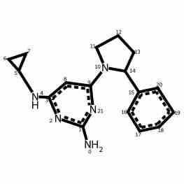 Nc1nc(NC2CC2)cc(N2CCCC2c2ccccc2)n1